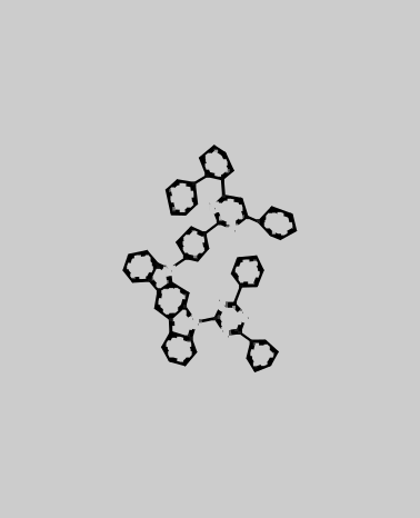 c1ccc(-c2cc(-c3ccccc3-c3ccccc3)nc(-c3ccc(-n4c5ccccc5c5cc6c7ccccc7n(-c7nc(-c8ccccc8)nc(-c8ccccc8)n7)c6cc54)cc3)n2)cc1